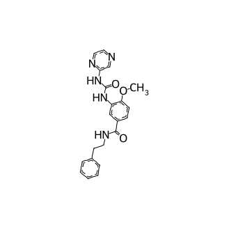 COc1ccc(C(=O)NCCc2ccccc2)cc1NC(=O)Nc1cnccn1